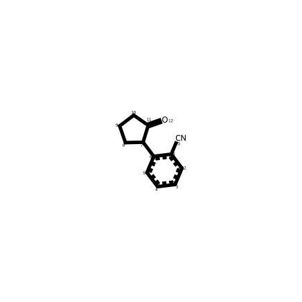 N#Cc1ccccc1C1CCCC1=O